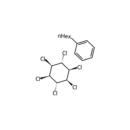 CCCCCCc1ccccc1.Cl[C@H]1[C@H](Cl)[C@@H](Cl)[C@@H](Cl)[C@H](Cl)[C@H]1Cl